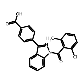 Cc1cccc(Cl)c1C(=O)n1nc(-c2ccc(C(=O)O)cc2)c2ccccc21